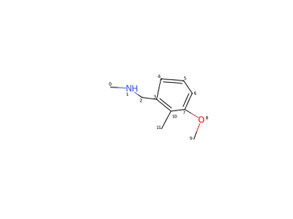 CNCc1cccc(OC)c1C